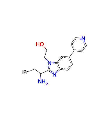 CC(C)CC(N)c1nc2ccc(-c3ccncc3)cc2n1CCO